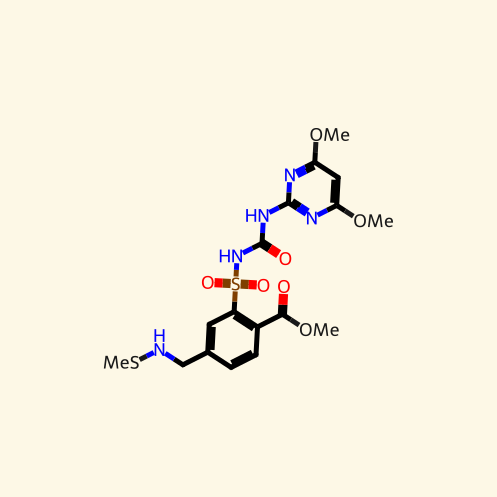 COC(=O)c1ccc(CNSC)cc1S(=O)(=O)NC(=O)Nc1nc(OC)cc(OC)n1